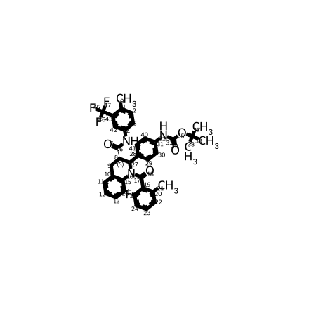 Cc1ccc(NC(=O)[C@H]2Cc3ccccc3N(C(=O)c3c(C)cccc3F)C2c2ccc(NC(=O)OC(C)(C)C)cc2)cc1C(F)(F)F